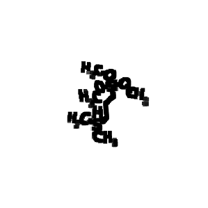 CO[Si](CCC[SH](C)C)(OC)OC